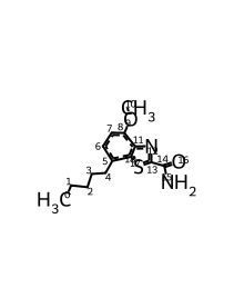 CCCCCc1ccc(OC)c2nc(C(N)=O)sc12